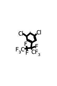 FC(F)(F)C(F)(F)C(F)(C1=CC(Cl)[CH]C(Cl)=C1)C(F)(F)F